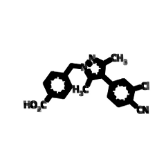 Cc1nn(Cc2ccc(C(=O)O)cc2)c(C)c1-c1ccc(C#N)c(Cl)c1